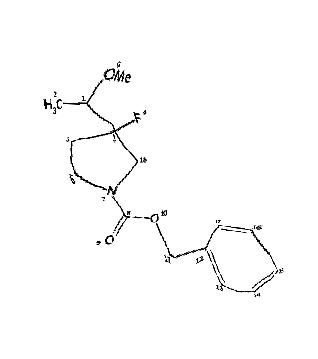 COC(C)C1(F)CCN(C(=O)OCc2ccccc2)C1